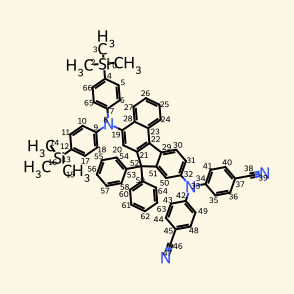 C[Si](C)(C)c1ccc(N(c2ccc([Si](C)(C)C)cc2)c2cc3c(c4ccccc24)-c2ccc(N(c4ccc(C#N)cc4)c4ccc(C#N)cc4)cc2C3(c2ccccc2)c2ccccc2)cc1